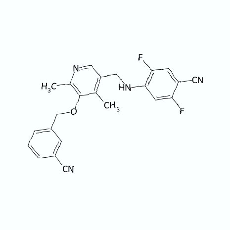 Cc1ncc(CNc2cc(F)c(C#N)cc2F)c(C)c1OCc1cccc(C#N)c1